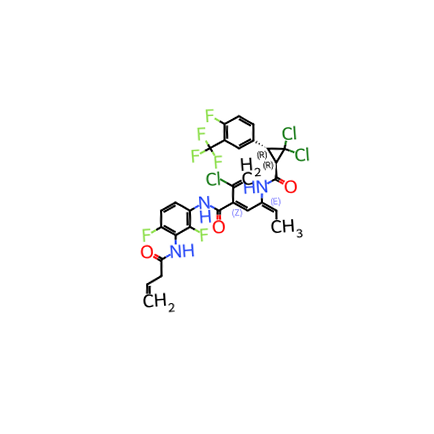 C=CCC(=O)Nc1c(F)ccc(NC(=O)/C(=C/C(=C\C)NC(=O)[C@H]2[C@H](c3ccc(F)c(C(F)(F)F)c3)C2(Cl)Cl)C(=C)Cl)c1F